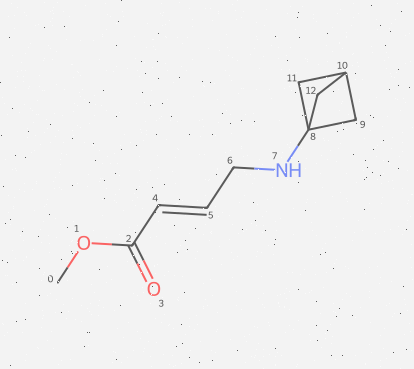 COC(=O)/C=C/CNC12CC(C1)C2